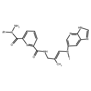 C/C(=C\N(I)c1cnc2[nH]cnc2c1)CNC(=O)c1cccc(C(=O)N(N)C(C)C)n1